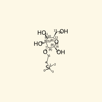 C[Si](C)(C)CCO[C@@H]1[C@@H](O)[C@@H](O)[C@@H](CO)O[C@H]1O